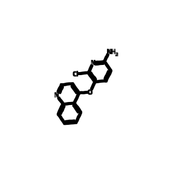 Nc1ccc(Oc2ccnc3ccccc23)c(Cl)n1